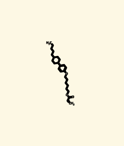 C=CC(=O)OCCCCCCOc1ccc(C2CCC(CCCCC)CC2)cc1